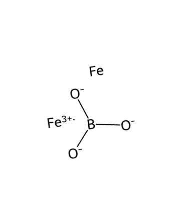 [Fe+3].[Fe].[O-]B([O-])[O-]